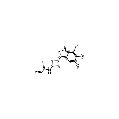 C=CC(=O)NC1CN(c2snc3c(F)c(Br)c(Cl)cc23)C1